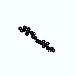 c1ccc2c(c1)ccc1c3cc(-c4c5ccccc5c(-c5cccc6c5ccc5cc7ccc(-c8ccc9c(ccc%10c%11cc(-c%12c%13ccccc%13c(-c%13cc%14ccc%15ccccc%15c%14c%14ccccc%13%14)c%13ccccc%12%13)ccc%11oc9%10)c8)cc7cc56)c5ccccc45)ccc3oc21